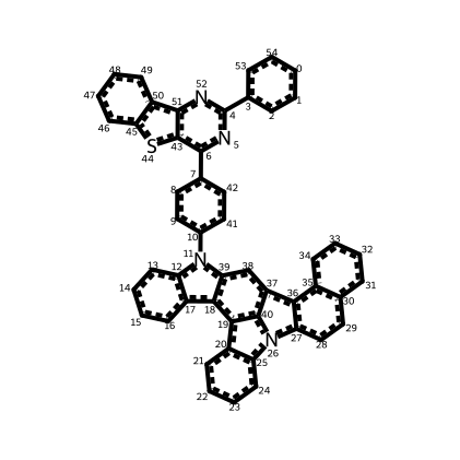 c1ccc(-c2nc(-c3ccc(-n4c5ccccc5c5c6c7ccccc7n7c8ccc9ccccc9c8c(cc54)c67)cc3)c3sc4ccccc4c3n2)cc1